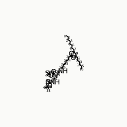 CCCCCCCCC(CCCCCCCC)OC(=O)CCCCCCCNCCN(CCNC(=O)OC(C)(C)C)C(=O)OC(C)(C)C